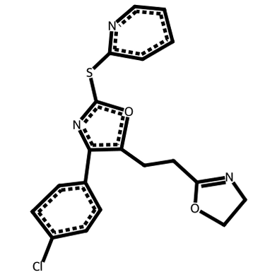 Clc1ccc(-c2nc(Sc3ccccn3)oc2CCC2=NCCO2)cc1